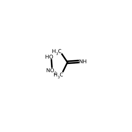 CC(C)=N.O=[N+]([O-])O